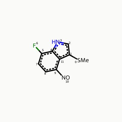 CSc1c[nH]c2c(F)ccc(N=O)c12